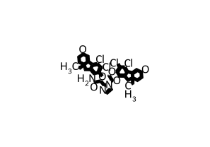 CCC12CCC(=O)C=C1c1c(cc(OCC(=O)n3ccnc3C(Oc3cc4c(c(Cl)c3Cl)C3=CC(=O)CCC3(CC)C4)C(N)=O)c(Cl)c1Cl)C2